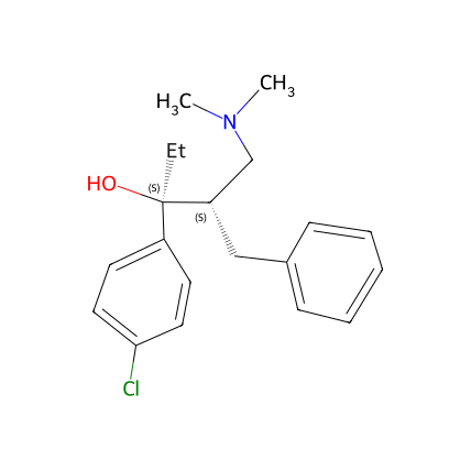 CC[C@@](O)(c1ccc(Cl)cc1)[C@@H](Cc1ccccc1)CN(C)C